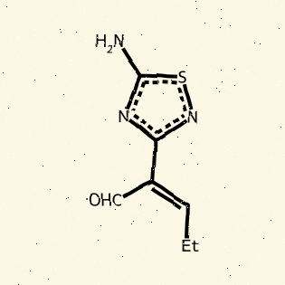 CCC=C([C]=O)c1nsc(N)n1